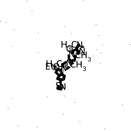 CCO[C@H]1Cc2cc(-c3nccs3)ccc2[C@H]1N1CCN(C2(C)CCN(C(=O)c3c(C)ncnc3C)CC2)C[C@@H]1C